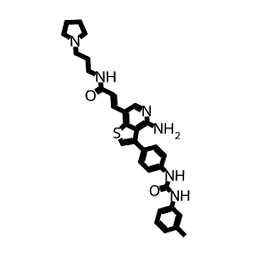 Cc1cccc(NC(=O)Nc2ccc(-c3csc4c(C=CC(=O)NCCCN5CCCC5)cnc(N)c34)cc2)c1